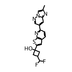 Cc1cn2ncc(-c3ccc4cc(C5(O)CC(C(F)F)C5)sc4n3)cc2n1